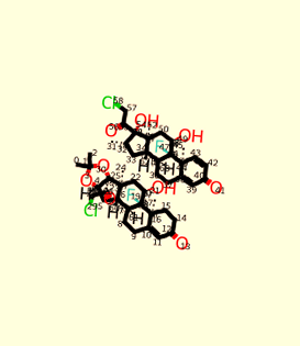 CC1(C)O[C@@H]2C[C@H]3[C@@H]4CCC5=CC(=O)CC[C@]5(C)[C@@]4(F)[C@@H](O)C[C@]3(C)[C@]2(C(=O)CCl)O1.C[C@H]1C[C@H]2[C@@H]3CCC4=CC(=O)C=C[C@]4(C)[C@@]3(F)[C@@H](O)C[C@]2(C)[C@@]1(O)C(=O)CCl